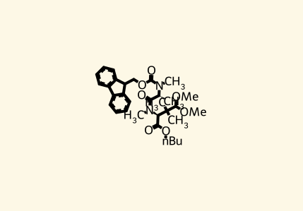 CCCCOC(=O)[C@@H](N(C)C(=O)[C@@H](C)N(C)C(=O)OCC1c2ccccc2-c2ccccc21)C(C)(C)C(OC)OC